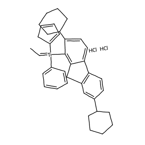 C[CH]=[Ti]([C]1=CC=CC1)([c]1ccccc1)[c]1c(C2CCCCC2)ccc2c1Cc1cc(C3CCCCC3)ccc1-2.Cl.Cl